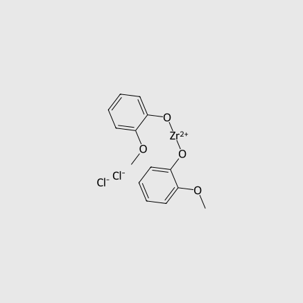 COc1ccccc1[O][Zr+2][O]c1ccccc1OC.[Cl-].[Cl-]